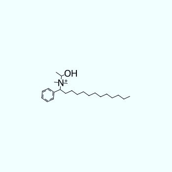 CCCCCCCCCCCCC(c1ccccc1)[N+](C)(C)C(C)O